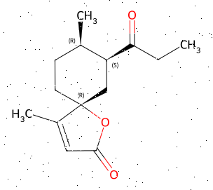 CCC(=O)[C@H]1C[C@@]2(CC[C@H]1C)OC(=O)C=C2C